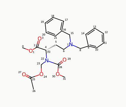 COC(=O)[C@H](CCN(Cc1ccccc1)Cc1ccccc1)N(COC(C)=O)C(=O)OC